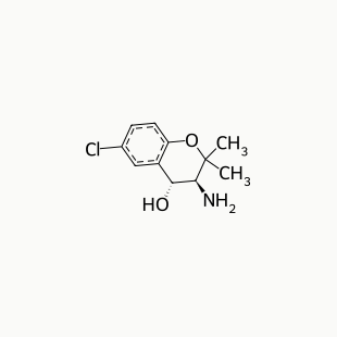 CC1(C)Oc2ccc(Cl)cc2[C@@H](O)[C@@H]1N